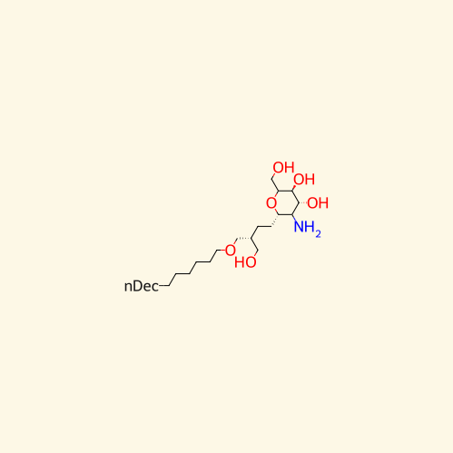 CCCCCCCCCCCCCCCCOC[C@@H](CO)CC[C@@H]1OC(CO)[C@@H](O)[C@H](O)C1N